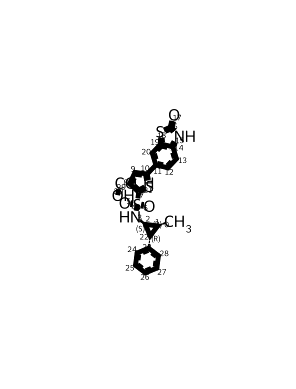 C[C@H]1[C@H](NS(=O)(=O)c2ccc(-c3ccc4[nH]c(=O)sc4c3)s2)[C@H]1c1ccccc1.O=C(O)O